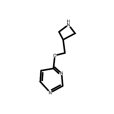 [c]1cc(OCC2CNC2)ncn1